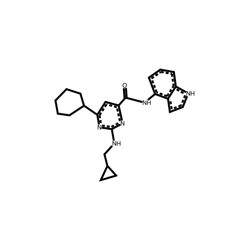 O=C(Nc1cccc2[nH]ccc12)c1cc(C2CCCCC2)nc(NCC2CC2)n1